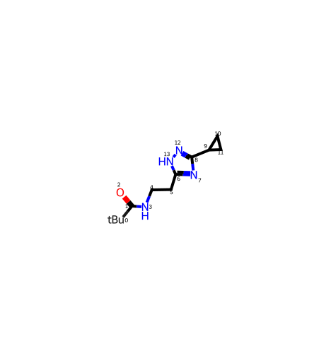 CC(C)(C)C(=O)NCCc1nc(C2CC2)n[nH]1